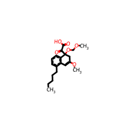 CCCCCc1cccc2c1C=C(OC)CC2(OCOC)C(=O)C(=O)O